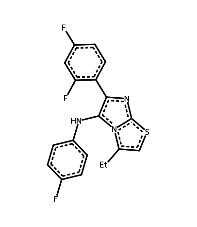 CCc1csc2nc(-c3ccc(F)cc3F)c(Nc3ccc(F)cc3)n12